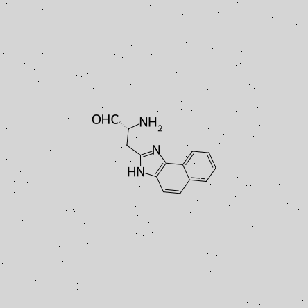 N[C@@H](C=O)Cc1nc2c(ccc3ccccc32)[nH]1